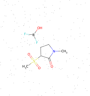 CN1CCC(S(C)(=O)=O)C1=O.OB(F)F